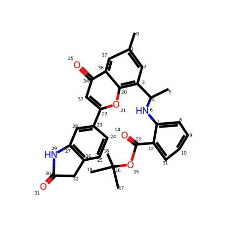 Cc1cc(C(C)Nc2ccccc2C(=O)OC(C)(C)C)c2oc(-c3ccc4c(c3)NC(=O)C4)cc(=O)c2c1